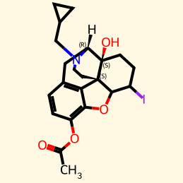 CC(=O)Oc1ccc2c3c1OC1C(I)CC[C@@]4(O)[C@@H](C2)N(CC2CC2)CC[C@]314